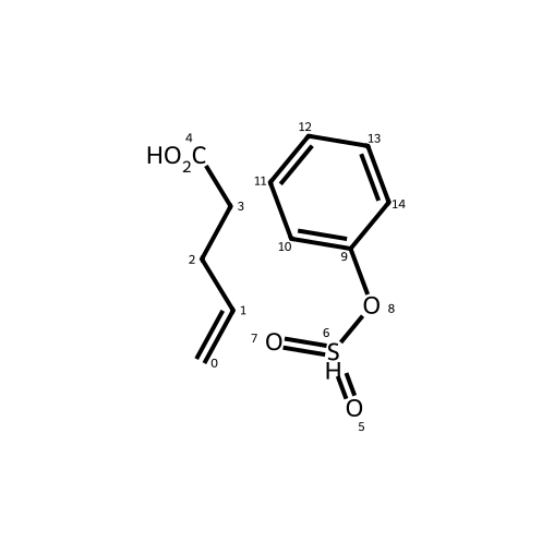 C=CCCC(=O)O.O=[SH](=O)Oc1ccccc1